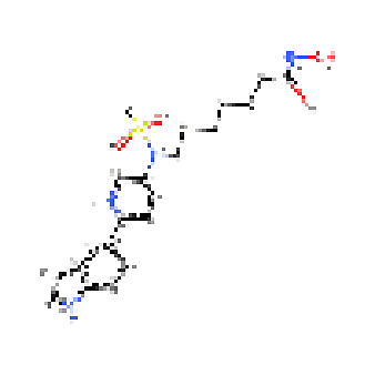 CS(=O)(=O)N(CCCCCCC(=O)NO)c1ccc(-c2ccc3[nH]ccc3c2)nc1